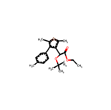 CCOC(=O)C(OC(C)(C)C)c1c(C)sc(C)c1-c1ccc(C)cc1